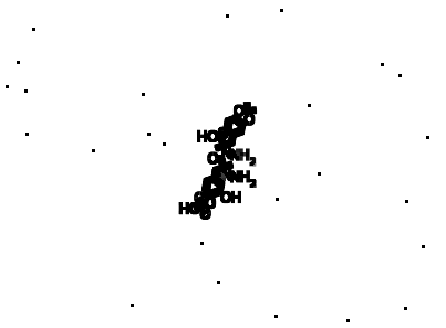 CC1(C)Oc2ccc(CC(C)(C(=O)O)N(N)C(=O)C(C)(Cc3ccc(OP(=O)(O)O)c(O)c3)NN)cc2O1